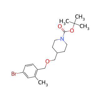 Cc1cc(Br)ccc1COCC1CCN(C(=O)OC(C)(C)C)CC1